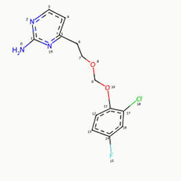 Nc1nccc(CCOCOc2ccc(F)cc2Cl)n1